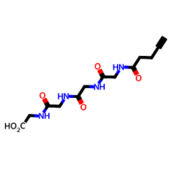 C#CCCC(=O)NCC(=O)NCC(=O)NCC(=O)NCC(=O)O